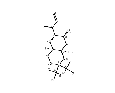 C=C[C@H](C)[C@@H]1O[C@@H]2CO[Si](C(C)(C)C)(C(C)(C)C)O[C@@H]2C[C@@H]1O